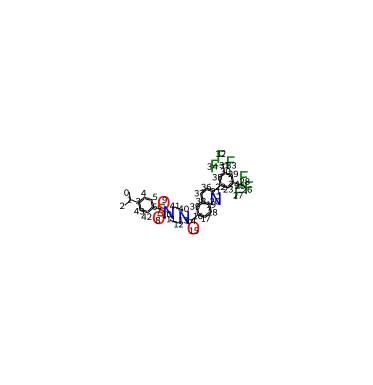 CC(C)c1ccc(S(=O)(=O)N2CCN(C(=O)c3ccc4nc(-c5cc(C(F)(F)F)cc(C(F)(F)F)c5)ccc4c3)CC2)cc1